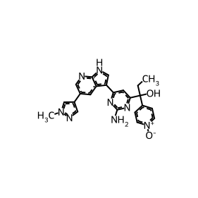 CCC(O)(c1cc[n+]([O-])cc1)c1cc(-c2c[nH]c3ncc(-c4cnn(C)c4)cc23)nc(N)n1